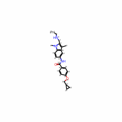 Cc1c(CNCC(C)C)n(C)c2ccc(NC(=O)c3ccc(OCC4CC4)cc3)cc12